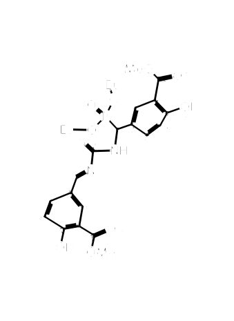 CCOP(=O)(OCC)C(NC(=S)/N=C/c1ccc(O)c(C(=O)OC)c1)c1ccc(O)c(C(=O)OC)c1